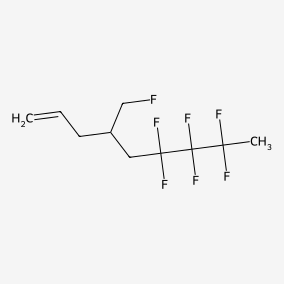 C=CCC(CF)CC(F)(F)C(F)(F)C(C)(F)F